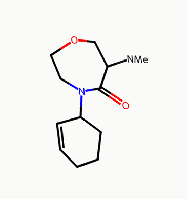 CNC1COCCN(C2C=CCCC2)C1=O